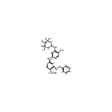 COc1ccc(Nc2ncc(F)c(NC3CC(C)(C)N(C)C(C)(C)C3)n2)cc1OCc1cccnc1